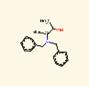 CCCC[C@@H](C(O)C(=O)O)N(Cc1ccccc1)Cc1ccccc1